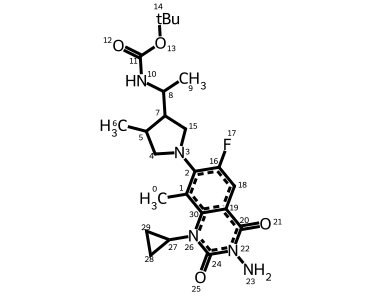 Cc1c(N2CC(C)C(C(C)NC(=O)OC(C)(C)C)C2)c(F)cc2c(=O)n(N)c(=O)n(C3CC3)c12